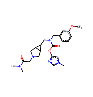 CCC(C)N(C)C(=O)CN1CC2C(C1)C2CN(Cc1cccc(OC(F)(F)F)c1)C(=O)Oc1cn(C)cn1